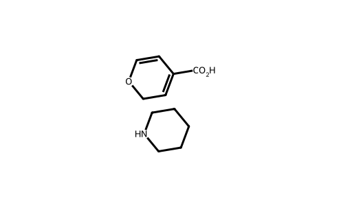 C1CCNCC1.O=C(O)C1=CCOC=C1